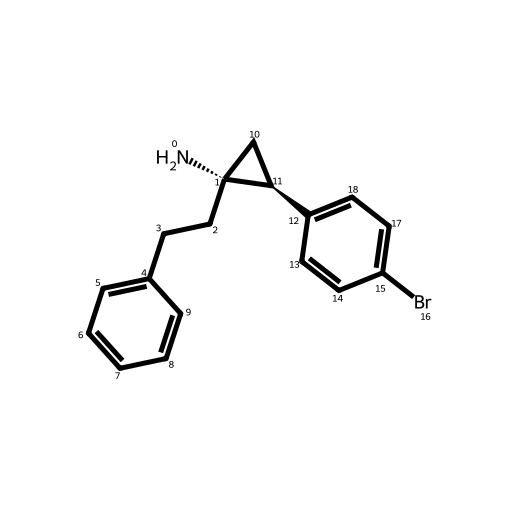 N[C@]1(CCc2ccccc2)C[C@H]1c1ccc(Br)cc1